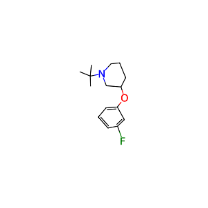 CC(C)(C)N1CCCC(Oc2cccc(F)c2)C1